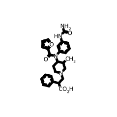 CC1CN(CC(C(=O)O)c2ccccc2)CCC1N(C(=O)c1ccco1)c1cccc(NC(N)=O)c1